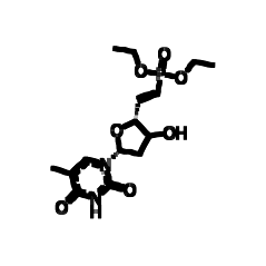 CCOP(=O)(/C=C/[C@H]1O[C@@H](n2cc(C)c(=O)[nH]c2=O)CC1O)OCC